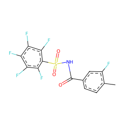 Cc1ccc(C(=O)NS(=O)(=O)c2c(F)c(F)c(F)c(F)c2F)cc1F